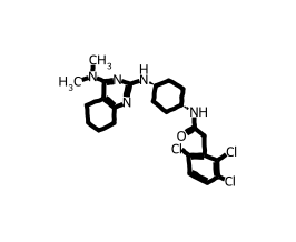 CN(C)c1nc(N[C@H]2CC[C@@H](NC(=O)Cc3c(Cl)ccc(Cl)c3Cl)CC2)nc2c1CCCC2